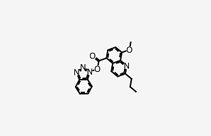 CCCc1ccc2c(C(=O)On3nnc4ccccc43)ccc(OC)c2n1